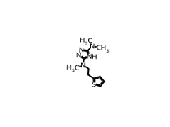 CN(C)c1nnc(N(C)CCc2cccs2)[nH]1